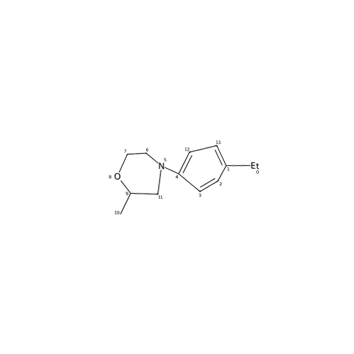 CCc1ccc(N2CCOC(C)C2)cc1